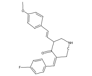 COc1ccc(C=CC2CNCCC(=Cc3ccc(F)cc3)C2=O)cc1